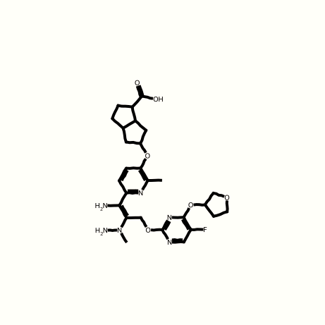 Cc1nc(/C(N)=C(\COc2ncc(F)c(OC3CCOC3)n2)N(C)N)ccc1OC1CC2CCC(C(=O)O)C2C1